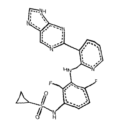 O=S(=O)(Nc1ccc(F)c(Nc2ncccc2-c2ncc3nc[nH]c3n2)c1F)C1CC1